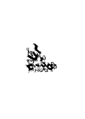 CCCCN(C(=O)CN1C[C@H](c2ccc3c(c2)OCO3)[C@@H](C(=O)O)[C@@H]1CCN1CCCC1=O)c1ccc[n+](C)c1